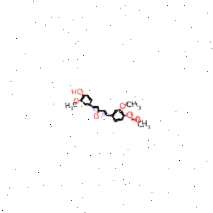 COCOc1ccc(/C=C/C(=O)/C=C/c2ccc(O)c(OC)c2)cc1OC